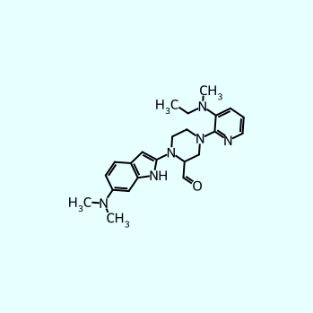 CCN(C)c1cccnc1N1CCN(c2cc3ccc(N(C)C)cc3[nH]2)C(C=O)C1